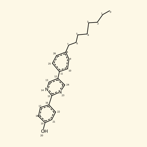 CCCCCCCCc1ccc(-c2cnc(-c3ccc(O)cc3)nc2)cc1